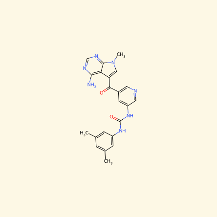 Cc1cc(C)cc(NC(=O)Nc2cncc(C(=O)c3cn(C)c4ncnc(N)c34)c2)c1